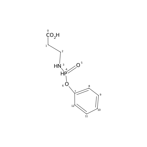 O=C(O)CCN[PH](=O)Oc1ccccc1